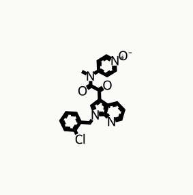 CN(C(=O)C(=O)c1cn(Cc2ccccc2Cl)c2ncccc12)c1cc[n+]([O-])cc1